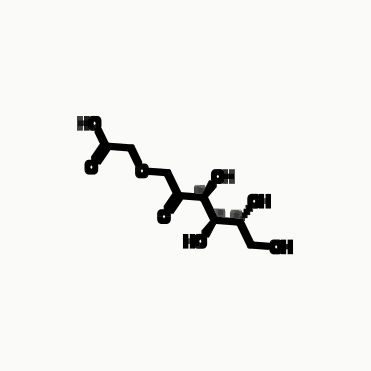 O=C(O)COCC(=O)[C@@H](O)[C@H](O)[C@H](O)CO